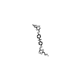 CNCC(=O)OC(CF)COc1ccc(C(C)(C)c2ccc(OCC(CCl)OC(=O)CN)cc2)cc1